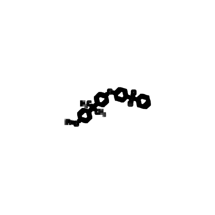 CC(C)Oc1ccc(C(C)(C)c2ccc(Oc3ccc(S(=O)(=O)c4cc#ccc4)cc3)cc2)cc1